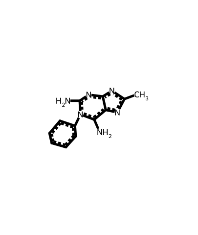 Cc1nc2nc(N)n(-c3ccccc3)c(N)c-2n1